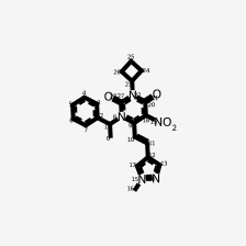 CC(c1ccccc1)n1c(C=Cc2cnn(C)c2)c([N+](=O)[O-])c(=O)n(C2CCC2)c1=O